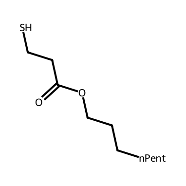 CCCCCCCCOC(=O)CCS